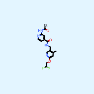 CCC(=O)Nc1cc(C(=O)NCc2cnc(OCC(F)F)cc2C)ccn1